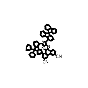 N#Cc1ccc2c(c1)c1cc(C#N)ccc1c1nc3c(-c4cccc5c4-c4ccccc4C5(c4ccccc4)c4ccccc4)sc(-c4cccc5c4-c4ccccc4C5(c4ccccc4)c4ccccc4)c3nc21